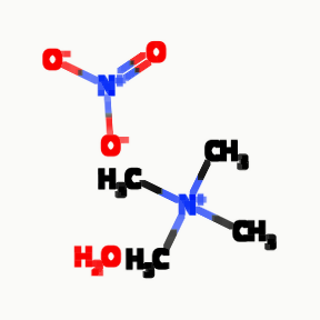 C[N+](C)(C)C.O.O=[N+]([O-])[O-]